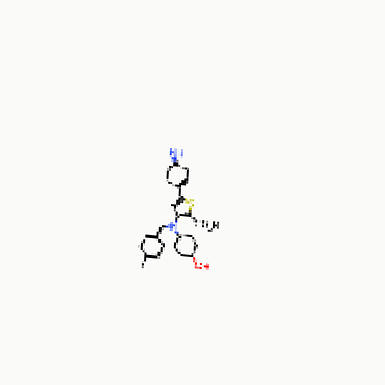 CC1CCC(CN(c2cc(C3=CCC(=N)CC3)sc2C(=O)O)C2CCC(O)CC2)CC1